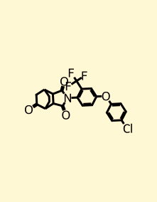 O=C1CC2CCC1C1C(=O)N(c3ccc(Oc4ccc(Cl)cc4)cc3C(F)(F)F)C(=O)C21